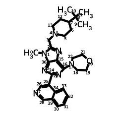 Cn1c(CN2CCC(C(C)(C)C)CC2)nc2c(N3CCOCC3)nc(-c3cncc4ccccc34)nc21